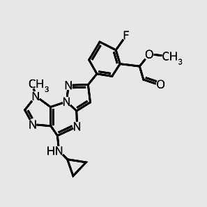 COC(C=O)c1cc(-c2cc3nc(NC4CC4)c4ncn(C)c4n3n2)ccc1F